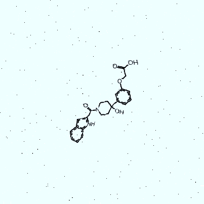 O=C(O)COc1cccc(C2(O)CCN(C(=O)c3cc4ccccc4[nH]3)CC2)c1